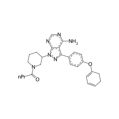 CCCC(=O)N1CCCC(n2nc(-c3ccc(OC4=CC=CCC4)cc3)c3c(N)ncnc32)C1